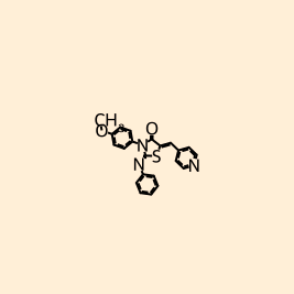 COc1ccc(N2C(=O)/C(=C/c3ccncc3)S/C2=N\c2ccccc2)cc1